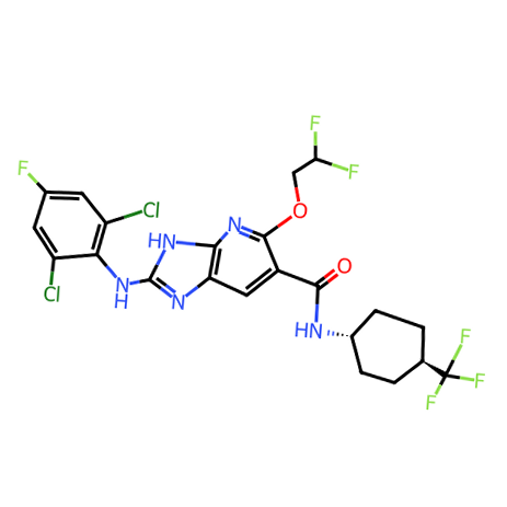 O=C(N[C@H]1CC[C@H](C(F)(F)F)CC1)c1cc2nc(Nc3c(Cl)cc(F)cc3Cl)[nH]c2nc1OCC(F)F